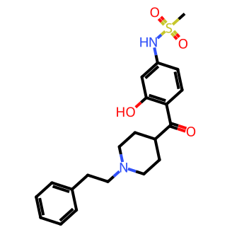 CS(=O)(=O)Nc1ccc(C(=O)C2CCN(CCc3ccccc3)CC2)c(O)c1